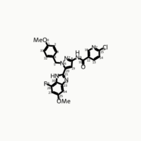 COc1ccc(Cn2nc(NC(=O)c3ccc(Cl)nc3)cc2-c2nc3cc(OC)cc(F)c3[nH]2)cc1